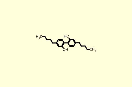 CCCCCc1ccc(-c2ccc(CCCCC)cc2O)c(O)c1